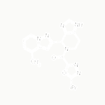 Cc1cccn2nc(C3c4nc[nH]c4CCN3C(=O)c3nnc(C(C)C)o3)cc12